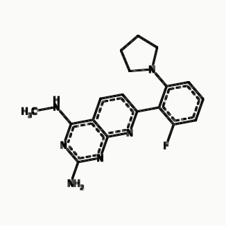 CNc1nc(N)nc2nc(-c3c(F)cccc3N3CCCC3)ccc12